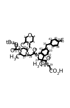 CC1COCCN1C[C@H]1CN(C(=O)OC(C)(C)C)[C@H](C)CN1CC(=O)N1CC(C)(C(=O)NCC(=O)O)c2ccc(Cc3ccc(F)cc3)cc21